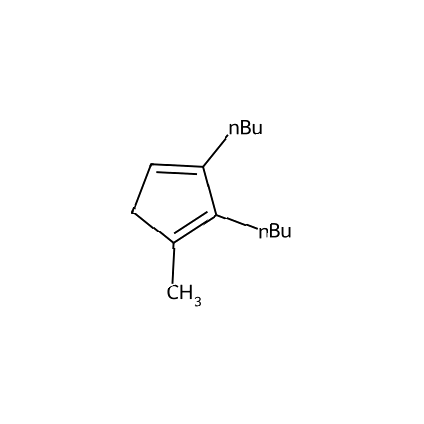 CCCCC1=CCC(C)=C1CCCC